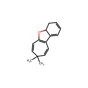 CC1(C)C=CC2=C(C=C1)C1=CC=CCC1O2